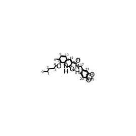 CCCCCOc1c(C)ccc2cc(C(=O)NCc3ccc4c(c3)OCO4)c(=O)[nH]c12